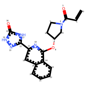 C=CC(=O)N1CC[C@@H](Oc2nc(-c3n[nH]c(=O)[nH]3)cc3ccccc23)C1